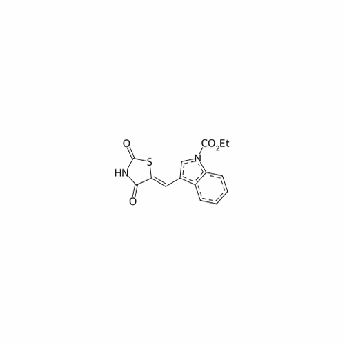 CCOC(=O)n1cc(/C=C2\SC(=O)NC2=O)c2ccccc21